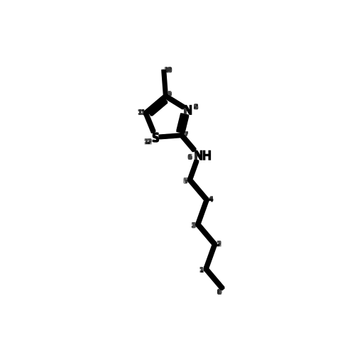 CCCCCCNc1nc(C)cs1